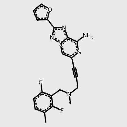 Cc1ccc(Cl)c(CN(C)CC#Cc2cn3nc(-c4ccco4)nc3c(N)n2)c1F